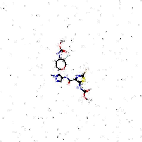 Cn1ncc(NC(=O)c2nc(Br)sc2NC(=O)OC(C)(C)C)c1[C@@H]1CC[C@@H](NC(=O)OC(C)(C)C)[C@H](F)CO1